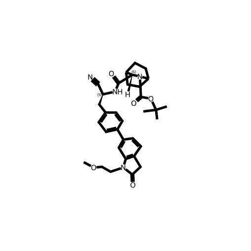 COCCN1C(=O)Cc2ccc(-c3ccc(C[C@@H](C#N)NC(=O)[C@@H]4C5CCC(CC5)N4C(=O)OC(C)(C)C)cc3)cc21